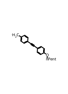 [CH2]c1ccc(C#Cc2ccc(OCCCCC)cc2)cc1